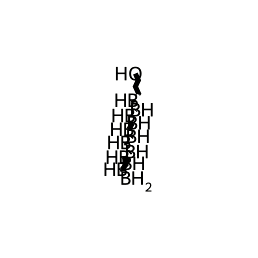 BBBBBBBBBBBBCCCO